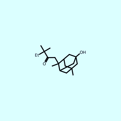 CCC(C)(C)C(=O)CC1(C)C2CC3(C)CC1CC(O)(C2)C3